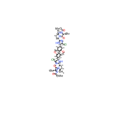 COC(=O)N[C@H](C(=O)N1[C@@H](C)CC[C@H]1c1nc(Cl)c(-c2cc3c4c(c2)OCc2cc(-c5[nH]c([C@@H]6CC[C@H](C)N6C(=O)[C@@H](NC(=O)OC)C(C)(C)C)nc5Cl)cc(c2-4)OC3)[nH]1)C(C)(C)C